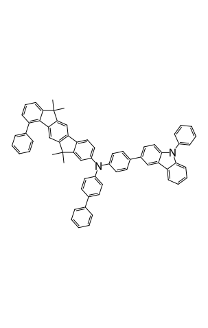 CC1(C)c2cc(N(c3ccc(-c4ccccc4)cc3)c3ccc(-c4ccc5c(c4)c4ccccc4n5-c4ccccc4)cc3)ccc2-c2cc3c(cc21)-c1c(-c2ccccc2)cccc1C3(C)C